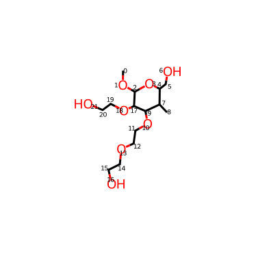 COC1OC(CO)C(C)C(OCCOCCO)C1OCCO